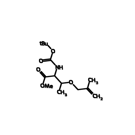 C=C(C)COC(C)C(NC(=O)OC(C)(C)C)C(=O)OC